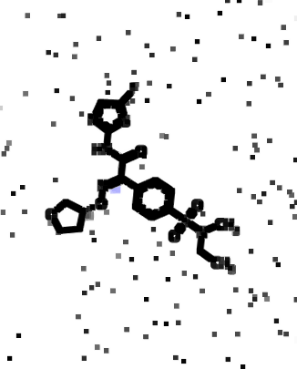 CCN(C)S(=O)(=O)c1ccc(/C(=N\O[C@@H]2CCOC2)C(=O)Nc2ncc(F)s2)cc1